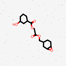 O=C(COC(=O)C1CCCC(O)C1)OCC1CCC2OC2C1